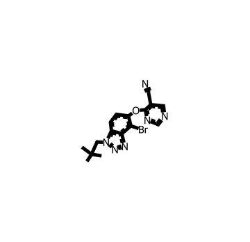 CC(C)(C)Cn1nnc2c(Br)c(Oc3ncncc3C#N)ccc21